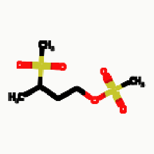 CC(CCOS(C)(=O)=O)S(C)(=O)=O